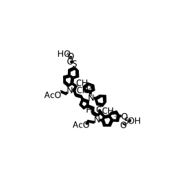 CC(=O)OCCN1/C(=C/C=C2\CCC(/C=C/C3=[N+](CCOC(C)=O)c4ccc5cc(SOOO)ccc5c4C3(C)C)=C2N(c2ccccc2)c2ccccc2)C(C)(C)c2c1ccc1cc(OS(=O)O)ccc21